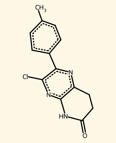 Cc1ccc(-c2nc3c(nc2Cl)NC(=O)CC3)cc1